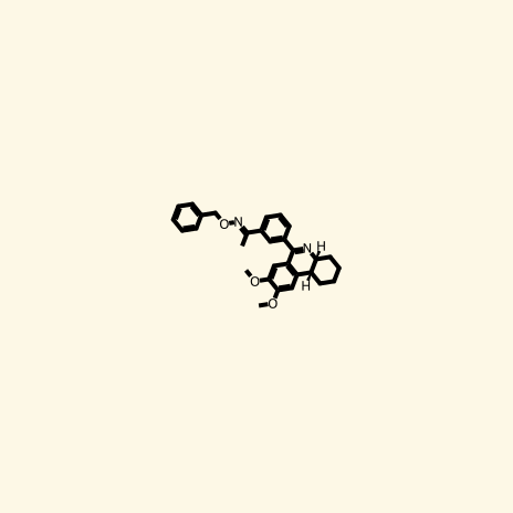 COc1cc2c(cc1OC)[C@H]1CCCC[C@H]1N=C2c1cccc(/C(C)=N/OCc2ccccc2)c1